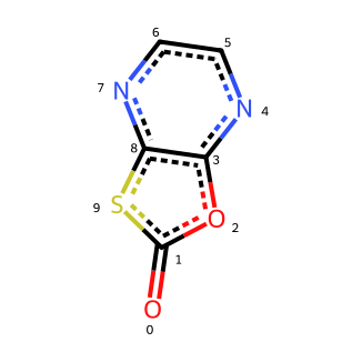 O=c1oc2nccnc2s1